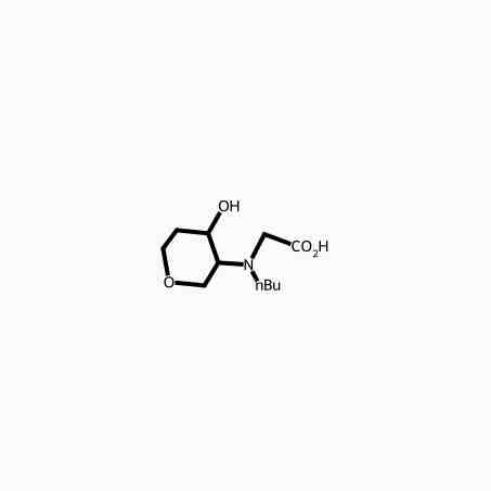 CCCCN(CC(=O)O)C1COCCC1O